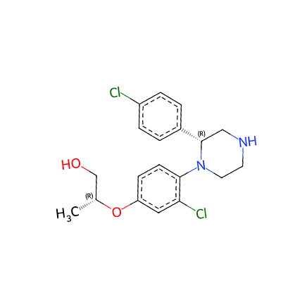 C[C@H](CO)Oc1ccc(N2CCNC[C@H]2c2ccc(Cl)cc2)c(Cl)c1